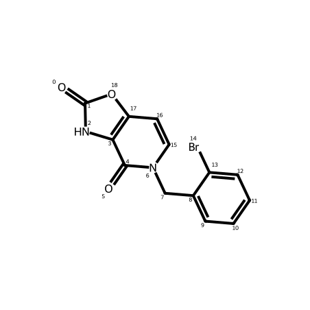 O=c1[nH]c2c(=O)n(Cc3ccccc3Br)ccc2o1